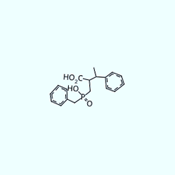 CC(c1ccccc1)C(CP(=O)(O)Cc1ccccc1)C(=O)O